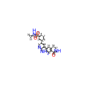 Nc1ncc(-c2cccc(S(=O)(=O)NC3CC3)c2)cc1-c1ccc2c(c1)CCNC2=O